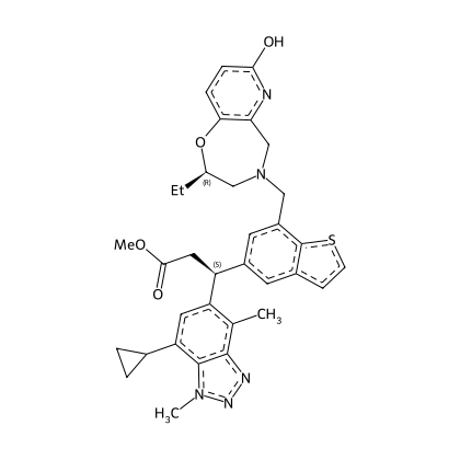 CC[C@@H]1CN(Cc2cc([C@H](CC(=O)OC)c3cc(C4CC4)c4c(nnn4C)c3C)cc3ccsc23)Cc2nc(O)ccc2O1